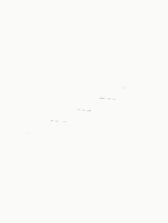 CCCCCCCCCCCC(=O)O.[Cd]